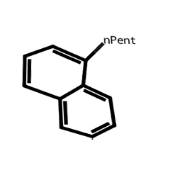 CCCCCc1cccc2c[c]ccc12